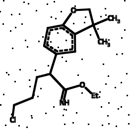 CCOC(=N)C(CCCCl)c1ccc2c(c1)C(C)(C)CO2